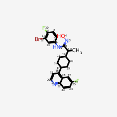 CC(/C(=N/O)Nc1ccc(F)c(Br)c1)C1CCC(c2ccnc3ccc(F)cc23)CC1